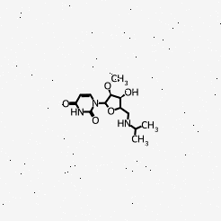 CO[C@@H]1C(n2ccc(=O)[nH]c2=O)OC(CNC(C)C)[C@@H]1O